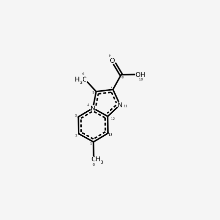 Cc1ccn2c(C)c(C(=O)O)nc2c1